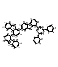 c1ccc(-c2nc(-c3ccccc3)nc(-c3cccc4c3sc3cc(-c5ccc(-c6cccc7oc8ccccc8c67)c6c5sc5ccccc56)ccc34)n2)cc1